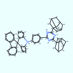 c1ccc2c(c1)-c1ccccc1C21c2ccccc2N(c2ccc(-c3nc(C45CC6CC(CC(C6)C4)C5)nc(C45CC6CC(CC(C6)C4)C5)n3)cc2)c2ccccc21